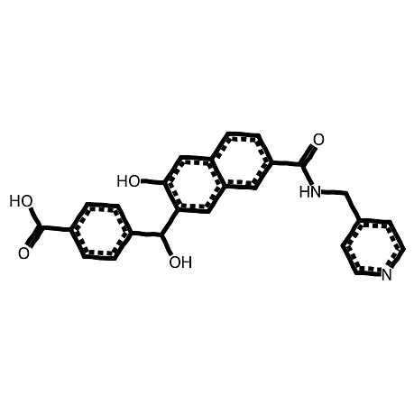 O=C(O)c1ccc(C(O)c2cc3cc(C(=O)NCc4ccncc4)ccc3cc2O)cc1